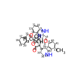 Cc1ccc(OCC2Nc3cccc(OCc4ccccc4)c3N2CCC(C(=O)OC(C)(C)C)C2CCNCC2)cc1